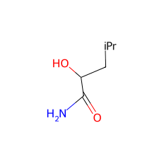 CC(C)CC(O)C(N)=O